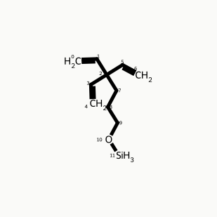 C=CC(C=C)(C=C)CCCO[SiH3]